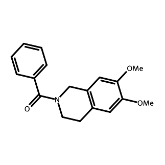 COc1cc2c(cc1OC)CN(C(=O)c1ccccc1)CC2